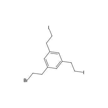 BrCCc1cc(CCI)cc(CCI)c1